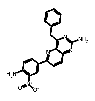 Nc1nc(Cc2ccccc2)c2nc(-c3ccc(N)c([N+](=O)[O-])c3)ccc2n1